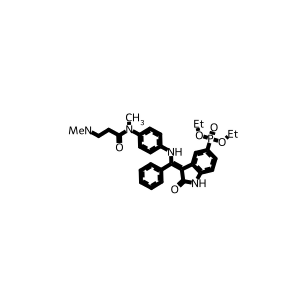 CCOP(=O)(OCC)c1ccc2c(c1)C(=C(Nc1ccc(N(C)C(=O)CCNC)cc1)c1ccccc1)C(=O)N2